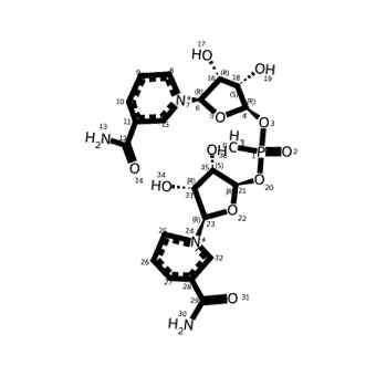 CP(=O)(O[C@H]1O[C@@H]([n+]2cccc(C(N)=O)c2)[C@H](O)[C@@H]1O)O[C@H]1O[C@@H]([n+]2cccc(C(N)=O)c2)[C@H](O)[C@@H]1O